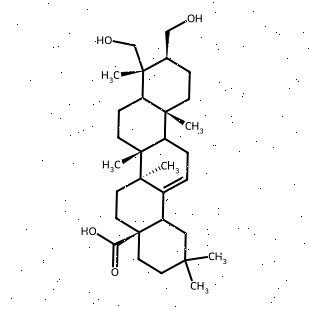 CC1(C)CC[C@]2(C(=O)O)CC[C@]3(C)C(=CCC4[C@@]5(C)CC[C@H](CO)[C@@](C)(CO)C5CC[C@]43C)C2C1